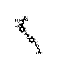 NC(Cc1c[nH]c2ccc(OCCOc3ccc(CCOCCC(=O)O)cc3)cc12)C(=O)O